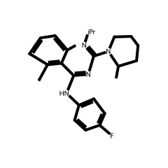 Cc1cccc(C)c1/C(=N\C(=N\C(C)C)N1CCCCC1C)Nc1ccc(F)cc1